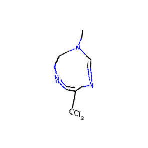 CN1C=NC(C(Cl)(Cl)Cl)=NC1